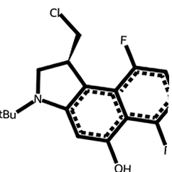 CC(C)(C)N1C[C@@H](CCl)c2c1cc(O)c1c(F)ccc(F)c21